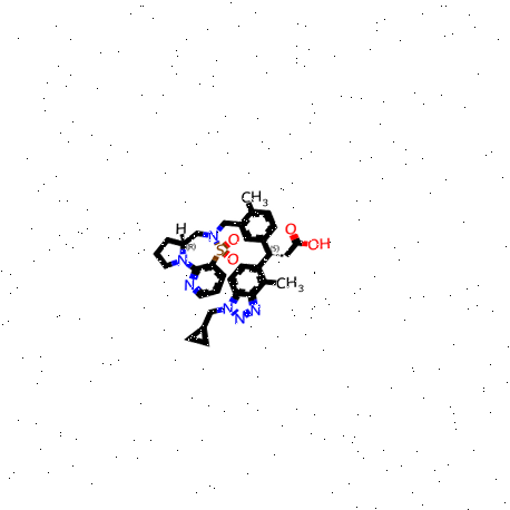 Cc1ccc([C@H](CC(=O)O)c2ccc3c(nnn3CC3CC3)c2C)cc1CN1C[C@H]2CCCN2c2ncccc2S1(=O)=O